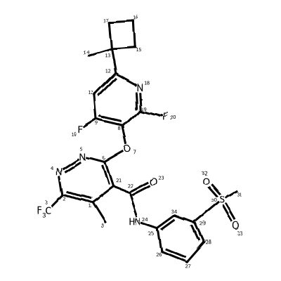 Cc1c(C(F)(F)F)nnc(Oc2c(F)cc(C3(C)CCC3)nc2F)c1C(=O)Nc1cccc(S(C)(=O)=O)c1